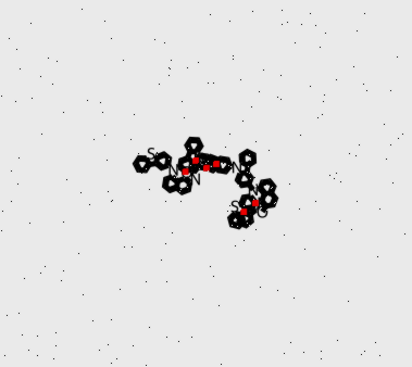 c1ccc(-c2nc3c(ccc4cccc(N(c5ccc6c(c5)sc5ccccc56)c5ccc6c(c5)c5ccccc5n6-c5ccc(-c6cccc(-c7nc8ccc9cccc(N(c%10ccc%11sc%12ccccc%12c%11c%10)c%10ccc%11c(c%10)c%10ccccc%10n%11-c%10ccccc%10)c9c8o7)c6)cc5)c43)o2)cc1